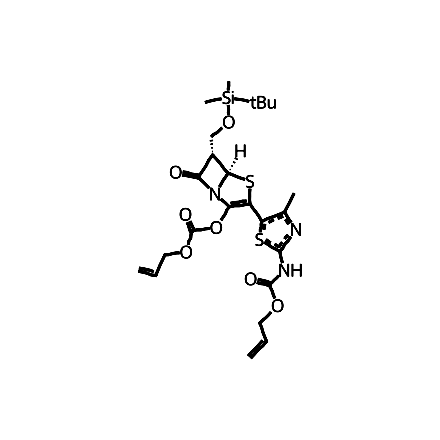 C=CCOC(=O)Nc1nc(C)c(C2=C(OC(=O)OCC=C)N3C(=O)[C@H](CO[Si](C)(C)C(C)(C)C)[C@H]3S2)s1